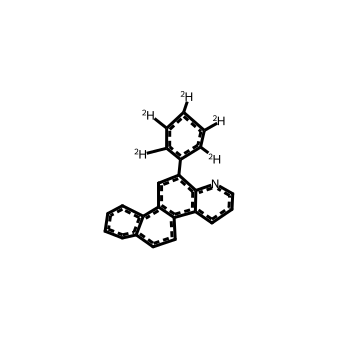 [2H]c1c([2H])c([2H])c(-c2cc3c4ccccc4ccc3c3cccnc23)c([2H])c1[2H]